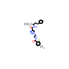 CCOC(=O)C(CCc1ccccc1)NC(=O)c1cn(CCNC(=O)c2ccc(C(F)(F)F)cc2F)nn1